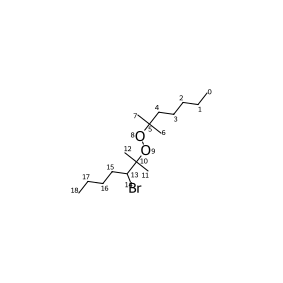 CCCCCC(C)(C)OOC(C)(C)C(Br)CCCC